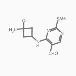 CSc1ncc(C=O)c(NC2CC(C)(O)C2)n1